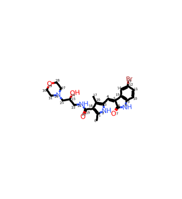 Cc1[nH]c(C=C2C(=O)Nc3ccc(Br)cc32)c(C)c1C(=O)NCC(O)CN1CCOCC1